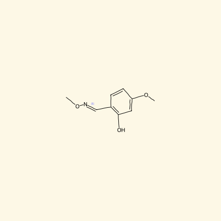 CO/N=C/c1ccc(OC)cc1O